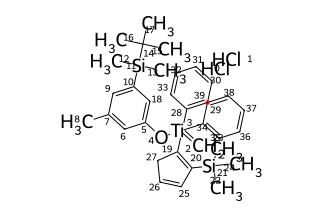 Cl.Cl.[CH2]=[Ti]([O]c1cc(C)cc([Si](C)(C)C(C)(C)C)c1)([C]1=C([Si](C)(C)C)C=CC1)([c]1ccccc1)[c]1ccccc1